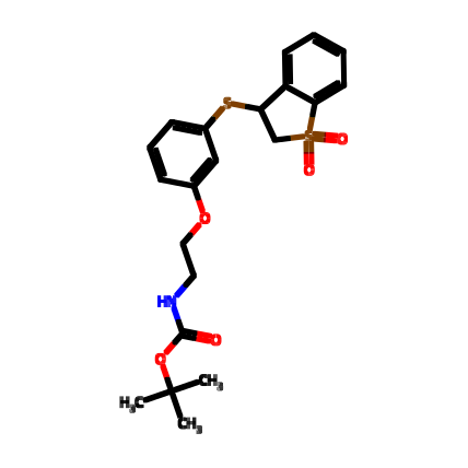 CC(C)(C)OC(=O)NCCOc1cccc(SC2CS(=O)(=O)c3ccccc32)c1